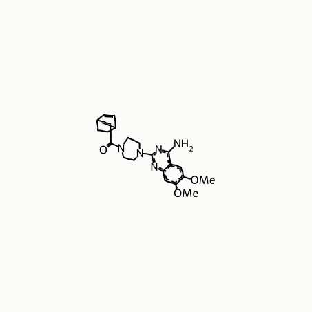 COc1cc2nc(N3CCN(C(=O)C4=CC5C=CC4CC5)CC3)nc(N)c2cc1OC